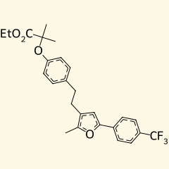 CCOC(=O)C(C)(C)Oc1ccc(CCc2cc(-c3ccc(C(F)(F)F)cc3)oc2C)cc1